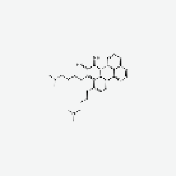 CN(C)CCCCc1ccc2c3cccc4cccc(c5c(=N)c(=N)c(CCCCN(C)C)c1c25)c43